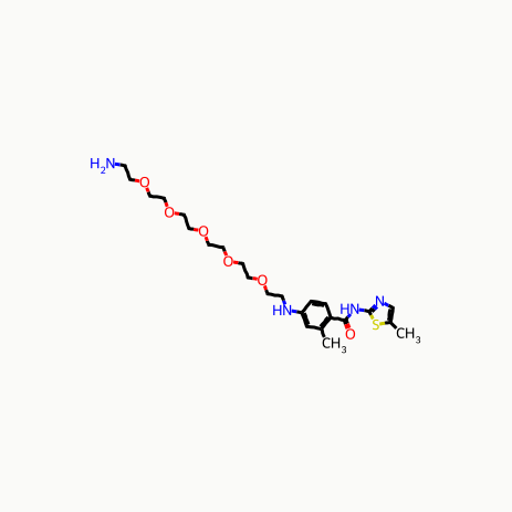 Cc1cnc(NC(=O)c2ccc(NCCOCCOCCOCCOCCOCCN)cc2C)s1